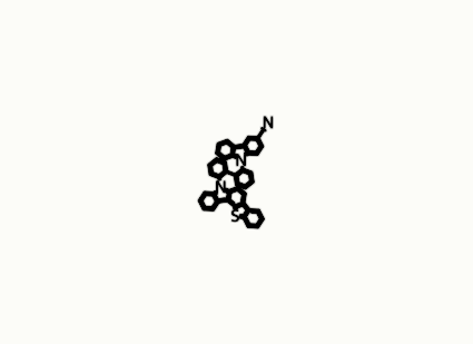 N#Cc1ccc2c(c1)c1ccccc1n2-c1ccccc1-c1ccccc1-n1c2ccccc2c2c3sc4ccccc4c3ccc21